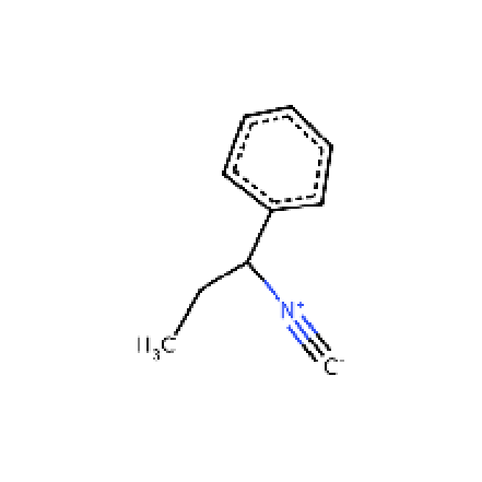 [C-]#[N+]C(CC)c1ccccc1